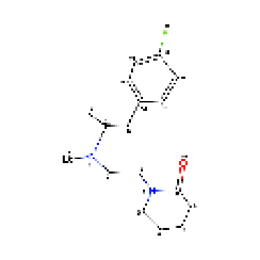 CCN(CCN1CCCCC1=O)C(C)Cc1ccc(F)cc1